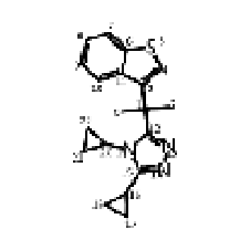 CC(C)(c1csc2ccccc12)c1nnc(C2CC2)n1C1CC1